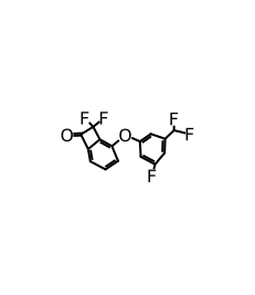 O=C1c2cccc(Oc3cc(F)cc(C(F)F)c3)c2C1(F)F